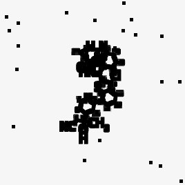 CC(O)(CC#N)c1ccnc(-c2cccc3cc(C(NS(=O)(=O)C4CC4)c4nc(N)ccc4Cl)sc23)c1